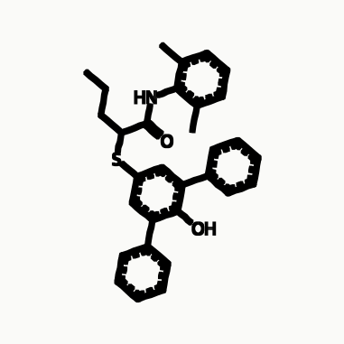 CCCC(Sc1cc(-c2ccccc2)c(O)c(-c2ccccc2)c1)C(=O)Nc1c(C)cccc1C